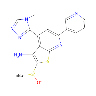 CCCC[S+]([O-])c1sc2nc(-c3cccnc3)cc(-c3nncn3C)c2c1N